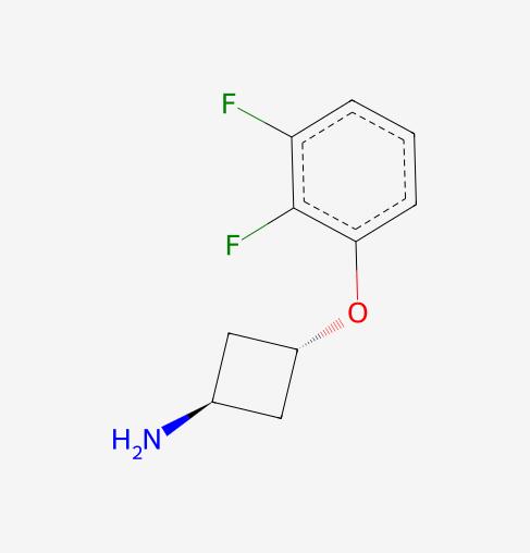 N[C@H]1C[C@H](Oc2cccc(F)c2F)C1